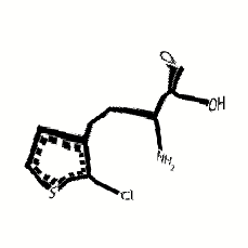 NC(Cc1ccsc1Cl)C(=O)O